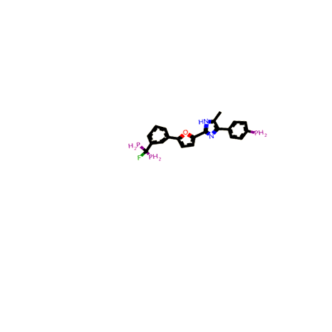 Cc1[nH]c(-c2ccc(-c3cccc(C(F)(P)P)c3)o2)nc1-c1ccc(P)cc1